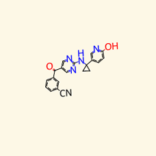 N#Cc1cccc(C(=O)c2cnc(NC3(c4ccc(O)nc4)CC3)nc2)c1